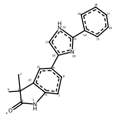 CC1(C)C(=O)Nc2ccc(-c3c[nH]c(-c4ccccc4)n3)cc21